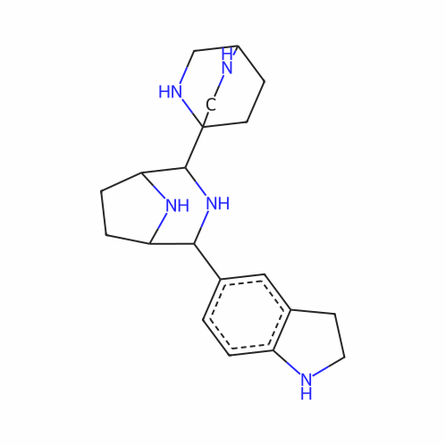 c1cc2c(cc1C1NC(C34CCC(CN3)NC4)C3CCC1N3)CCN2